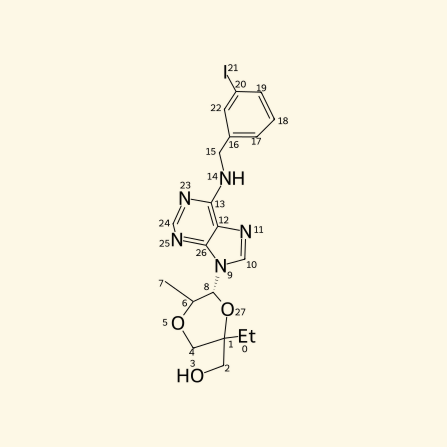 CCC1(CO)COC(C)[C@H](n2cnc3c(NCc4cccc(I)c4)ncnc32)O1